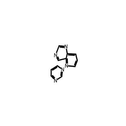 c1cnc2cncnc2c1.c1cncnc1